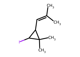 CC(C)=CC1C(I)C1(C)C